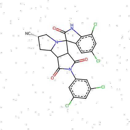 N#C[C@H]1CC2C3C(=O)N(c4cc(Cl)cc(Cl)c4)C(=O)C3C3(C(=O)Nc4c(Cl)cc(Cl)cc43)N2C1